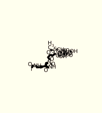 CSSC(C)OC1CC(n2cc(C#CCNC(=O)I)c(=O)[nH]c2=O)OC1COP(=O)(O)OP(=O)(O)OP(=O)(O)O